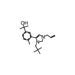 C=CCN1C=C(c2cc(C(C)(C)O)ccc2C)N(CC(C)(C)C)C1